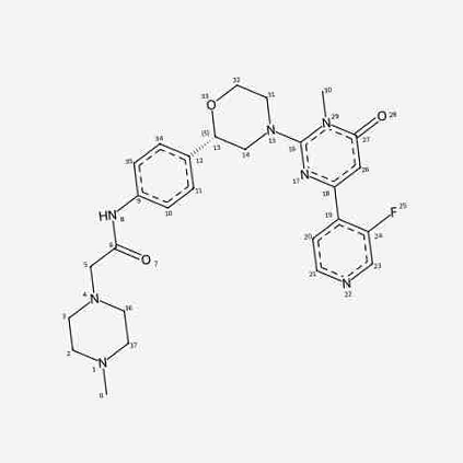 CN1CCN(CC(=O)Nc2ccc([C@H]3CN(c4nc(-c5ccncc5F)cc(=O)n4C)CCO3)cc2)CC1